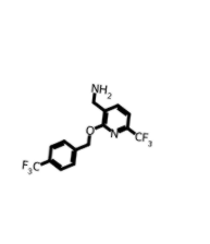 NCc1ccc(C(F)(F)F)nc1OCc1ccc(C(F)(F)F)cc1